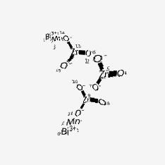 [Bi+3].[Bi+3].[Mn].[Mn].[O]=[Zr]([O-])[O-].[O]=[Zr]([O-])[O-].[O]=[Zr]([O-])[O-]